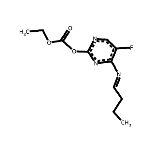 CCC/C=N/c1nc(OC(=O)OCC)ncc1F